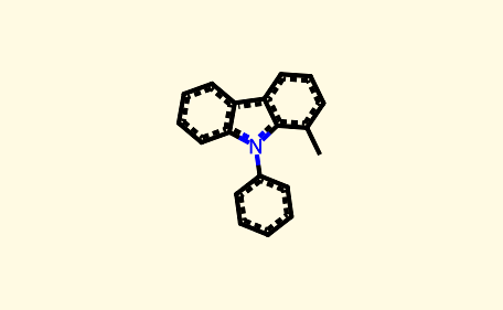 Cc1cccc2c3ccccc3n(-c3ccccc3)c12